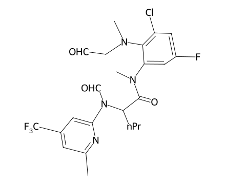 CCCC(C(=O)N(C)c1cc(F)cc(Cl)c1N(C)CC=O)N(C=O)c1cc(C(F)(F)F)cc(C)n1